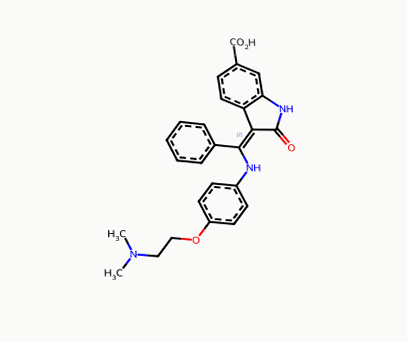 CN(C)CCOc1ccc(N/C(=C2\C(=O)Nc3cc(C(=O)O)ccc32)c2ccccc2)cc1